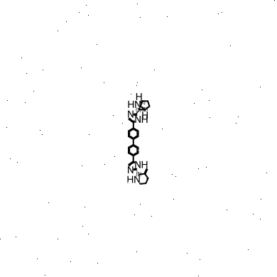 C=C1CCCN[C@@H]1c1ncc(-c2ccc(-c3ccc(-c4cnc([C@H]5N[C@@H]6CC[C@H]5C6)[nH]4)cc3)cc2)[nH]1